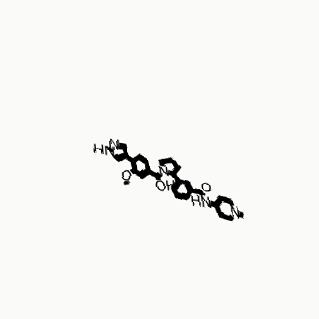 COc1cc(C(O)N2CCCC2c2cccc(C(=O)NC3CCN(C)CC3)c2)ccc1-c1cn[nH]c1